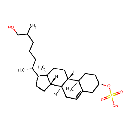 CC(CO)CCC[C@@H](C)C1CC[C@H]2[C@@H]3CC=C4C[C@@H](OS(=O)(=O)O)CC[C@]4(C)[C@H]3CC[C@]12C